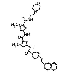 Cn1cc(NC(=O)c2cc(NC(=O)c3ccc(C=Cc4ccc5ccccc5c4)cc3)cn2C)cc1C(=O)NCCN1CCOCC1